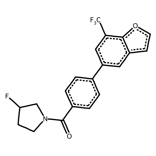 O=C(c1ccc(-c2cc(C(F)(F)F)c3occc3c2)cc1)N1CCC(F)C1